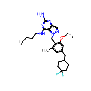 CCCCNc1nc(N)nc2cnn(Cc3c(C)cc(CC4CCC(F)(F)CC4)cc3OC)c12